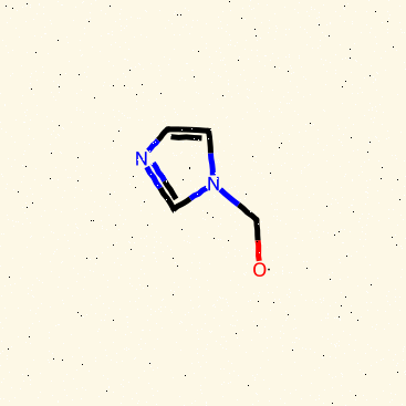 [O]Cn1ccnc1